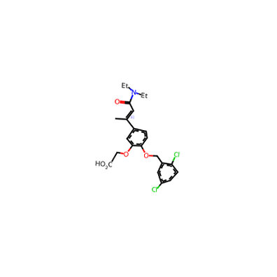 CCN(CC)C(=O)/C=C(\C)c1ccc(OCc2cc(Cl)ccc2Cl)c(OCC(=O)O)c1